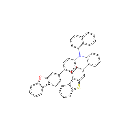 c1ccc(N(c2ccc(-c3ccc4c(c3)oc3ccccc34)cc2)c2cccc3ccccc23)c(-c2ccc3c(c2)sc2ccccc23)c1